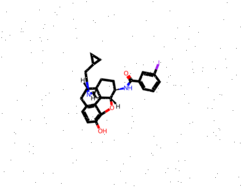 O=C(N[C@@H]1CC[C@H]2[C@H]3Cc4ccc(O)c5c4[C@]2(CCN3CC2CC2)[C@H]1O5)c1cccc(I)c1